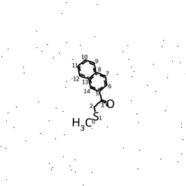 CSCC(=O)c1ccc2ccccc2c1